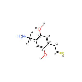 COc1cc(C(C)(C)N)c(OC)cc1CC=S